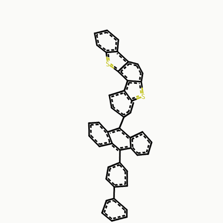 c1ccc(-c2ccc(-c3c4ccccc4c(-c4ccc5c(c4)sc4ccc6c7ccccc7sc6c45)c4ccccc34)cc2)cc1